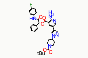 CC(C)(C)OC(=O)N1CCC(n2cc(-c3cnc(N)c(C(=O)O[C@@H](C(=O)Nc4ccc(F)cc4)c4ccccc4)c3)cn2)CC1